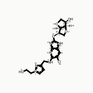 OCCn1ccc(CNc2nc3nc(O[C@@H]4CO[C@H]5[C@@H]4OC[C@H]5O)[nH]c3cc2Cl)n1